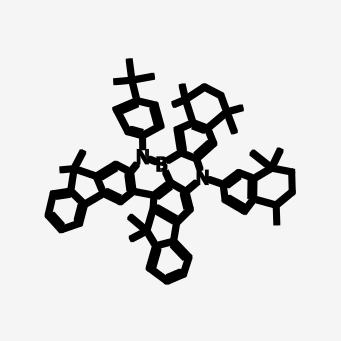 CC1CCC(C)(C)c2cc(N3c4cc5c(cc4B4c6c3cc3c(c6-c6cc7c(cc6N4c4ccc(C(C)(C)C)cc4)C(C)(C)c4ccccc4-7)C(C)(C)c4ccccc4-3)C(C)(C)CCC5(C)C)ccc21